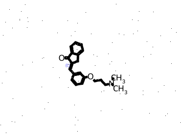 CN(C)CCCOc1cccc(/C=C2\Cc3ccccc3C2=O)c1